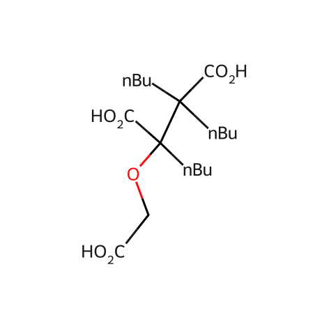 CCCCC(CCCC)(C(=O)O)C(CCCC)(OCC(=O)O)C(=O)O